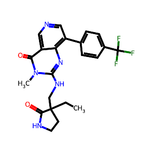 CCC1(CNc2nc3c(-c4ccc(C(F)(F)F)cc4)cncc3c(=O)n2C)CCNC1=O